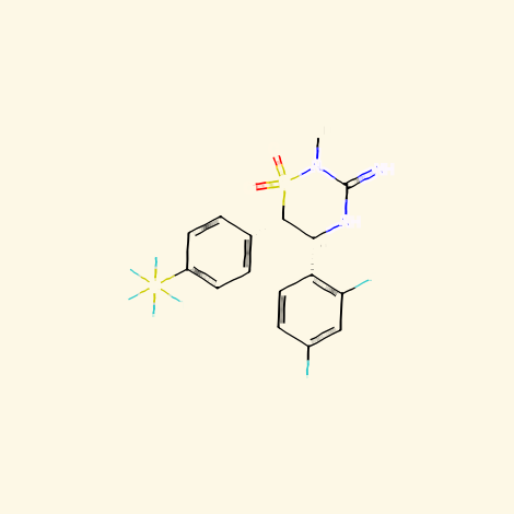 CN1C(=N)N[C@H](c2ccc(F)cc2F)[C@H](c2ccc(S(F)(F)(F)(F)F)cc2)S1(=O)=O